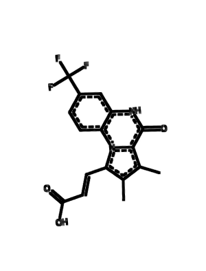 Cc1c(C)c2c(=O)[nH]c3cc(C(F)(F)F)ccc3n2c1C=CC(=O)O